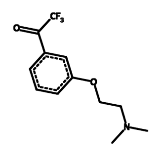 CN(C)CCOc1cccc(C(=O)C(F)(F)F)c1